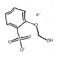 O=S(=O)([O-])c1ccccc1OCO.[K+]